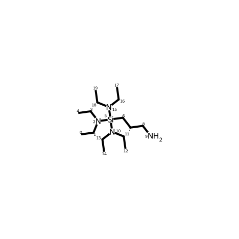 CCN(CC)[Si](CCCN)(N(CC)CC)N(CC)CC